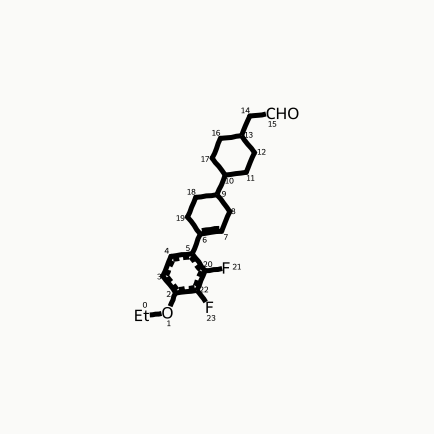 CCOc1ccc(C2=CCC(C3CCC(CC=O)CC3)CC2)c(F)c1F